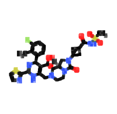 Cc1c(F)cccc1[C@@H]1N=C(c2nccs2)NC(CN2CCN3C(=O)N(C45CC(C(=O)NS(C)(=O)=O)(C4)C5)C[C@@H]3C2)=C1C(=O)O